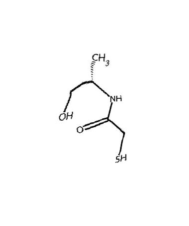 C[C@@H](CO)NC(=O)CS